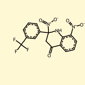 O=C1CC(c2cccc(C(F)(F)F)c2)([N+](=O)[O-])Nc2c1cccc2[N+](=O)[O-]